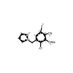 COc1c(Cl)c(Cn2cccn2)cc(F)c1C#N